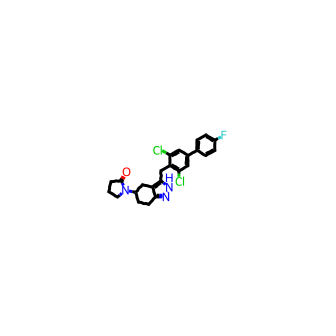 O=C1CCCN1C1CCc2n[nH]c(Cc3c(Cl)cc(-c4ccc(F)cc4)cc3Cl)c2C1